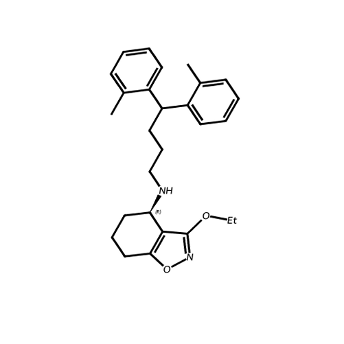 CCOc1noc2c1[C@H](NCCCC(c1ccccc1C)c1ccccc1C)CCC2